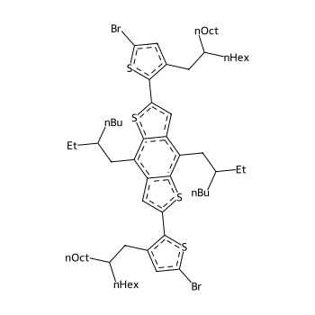 CCCCCCCCC(CCCCCC)Cc1cc(Br)sc1-c1cc2c(CC(CC)CCCC)c3sc(-c4sc(Br)cc4CC(CCCCCC)CCCCCCCC)cc3c(CC(CC)CCCC)c2s1